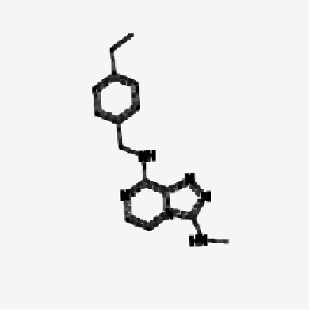 CCc1ccc(CNc2nccn3c(NC)nnc23)cc1